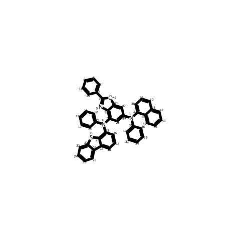 c1ccc(-c2nc3c(N(c4ccccc4)c4cccc5c4sc4ccccc45)cc(N(c4ccccc4)c4cccc5ccccc45)cc3o2)cc1